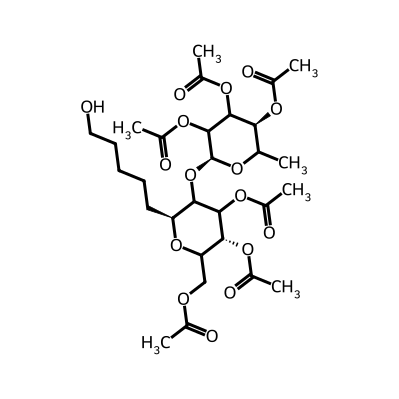 CC(=O)OCC1O[C@@H](CCCCCO)C(O[C@@H]2OC(C)[C@H](OC(C)=O)C(OC(C)=O)C2OC(C)=O)C(OC(C)=O)[C@@H]1OC(C)=O